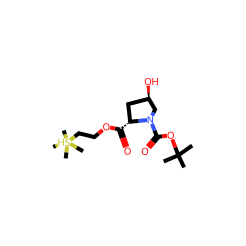 CC(C)(C)OC(=O)N1C[C@H](O)C[C@H]1C(=O)OCC[SH](C)(C)(C)C